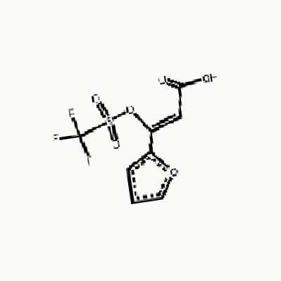 O=C(O)C=C(OS(=O)(=O)C(F)(F)F)c1ccco1